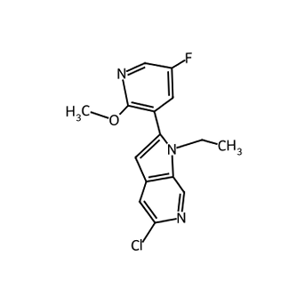 CCn1c(-c2cc(F)cnc2OC)cc2cc(Cl)ncc21